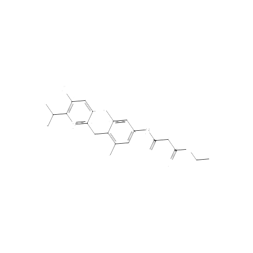 CCOC(=O)CC(=O)Nc1cc(C)c(Cc2ccc(O)c(C(C)C)n2)c(C)c1